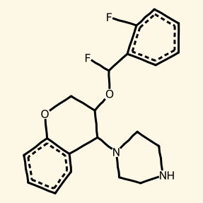 Fc1ccccc1C(F)OC1COc2ccccc2C1N1CCNCC1